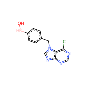 OBc1ccc(Cn2cnc3ncnc(Cl)c32)cc1